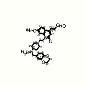 BN(Cc1ccc2c(c1)OCCO2)C1CCN(CCn2c(=O)cc(/C=C/C=O)c3ccc(OC)cc32)CC1